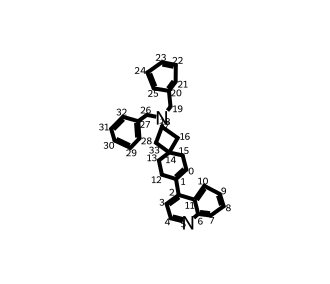 C1=C(c2ccnc3ccccc23)CCC2(C1)CC(N(Cc1ccccc1)Cc1ccccc1)C2